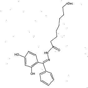 CCCCCCCCCCCCCCCCCC(=O)N/N=C(/c1ccccc1)c1ccc(O)cc1O